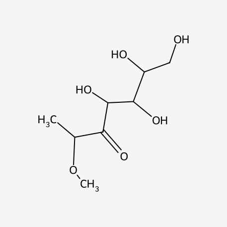 COC(C)C(=O)C(O)C(O)C(O)CO